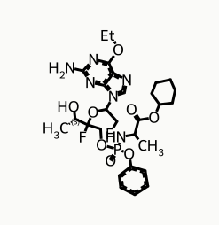 CCOc1nc(N)nc2c1ncn2C(CF)OC(F)(COP(=O)(NC(C)C(=O)OC1CCCCC1)Oc1ccccc1)[C@H](C)O